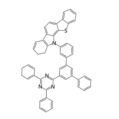 C1=CC(c2nc(-c3ccccc3)nc(-c3cc(-c4ccccc4)cc(-c4cccc(-n5c6c(c7ccc8c9ccccc9sc8c75)C=CCC6)c4)c3)n2)=CCC1